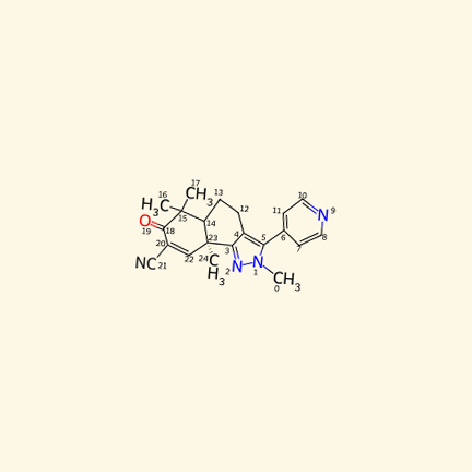 Cn1nc2c(c1-c1ccncc1)CCC1C(C)(C)C(=O)C(C#N)=C[C@]21C